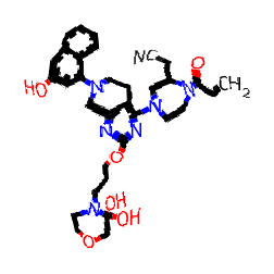 C=CC(=O)N1CCN(c2nc(OCCCN3CCOCC3(O)O)nc3c2CCN(c2cc(O)cc4ccccc24)C3)CC1CC#N